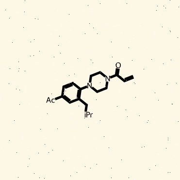 C=CC(=O)N1CCN(c2ccc(C(C)=O)cc2CC(C)C)CC1